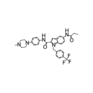 CCC(=O)Nc1ccc2c(c1)cc(C(=O)Nc1ccc(N3CCN(C)CC3)cc1)n2Cc1ccc(C(F)(F)F)cc1